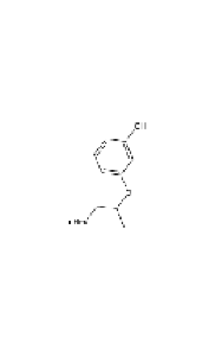 CCCCCCCC(C)Oc1cccc(O)c1